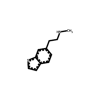 CNCCc1ccc2ccsc2c1